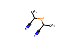 CC(C#N)PC(C)C#N